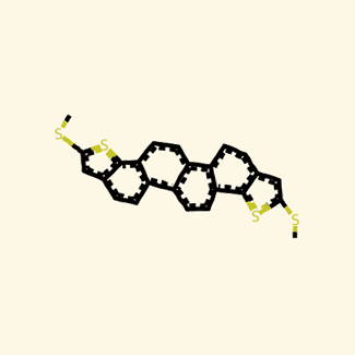 CSc1cc2ccc3c4ccc5c(ccc6cc(SC)sc65)c4ccc3c2s1